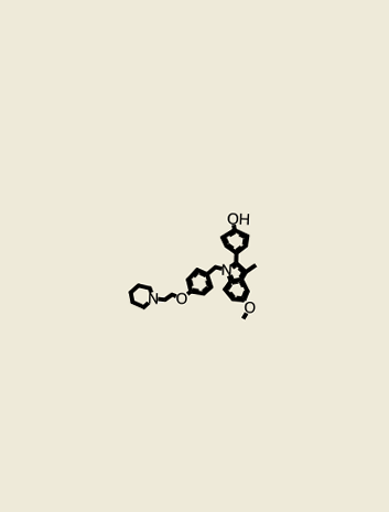 COc1ccc2c(c1)c(C)c(-c1ccc(O)cc1)n2Cc1ccc(OCCN2CCCCC2)cc1